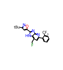 CC(C)(C)c1cc(-c2nc3nc(-c4ccccc4C(F)(F)F)cc(CF)c3[nH]2)on1